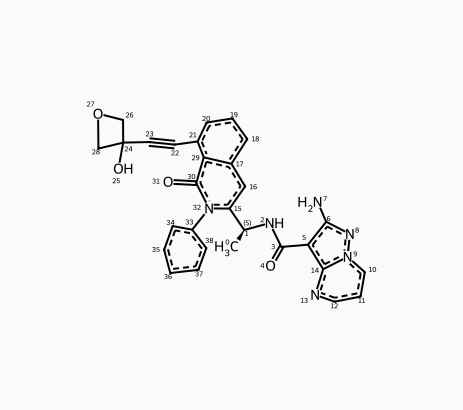 C[C@H](NC(=O)c1c(N)nn2cccnc12)c1cc2cccc(C#CC3(O)COC3)c2c(=O)n1-c1ccccc1